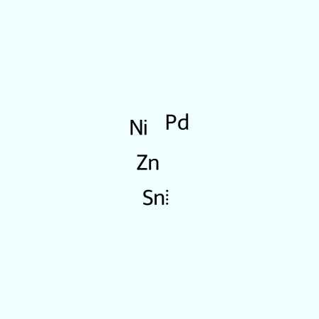 [Ni].[Pd].[Sn].[Zn]